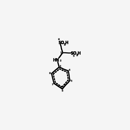 O=S(=O)(O)C(Nc1ccccc1)S(=O)(=O)O